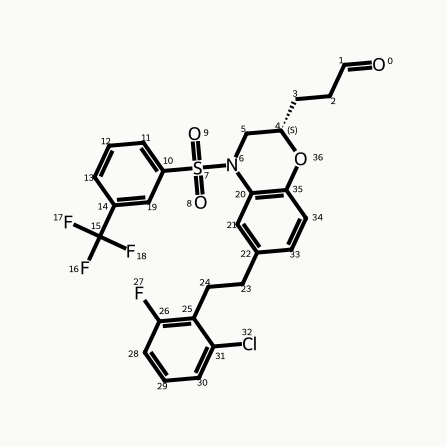 O=CCC[C@H]1CN(S(=O)(=O)c2cccc(C(F)(F)F)c2)c2cc(CCc3c(F)cccc3Cl)ccc2O1